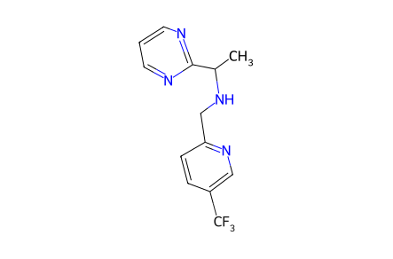 CC(NCc1ccc(C(F)(F)F)cn1)c1ncccn1